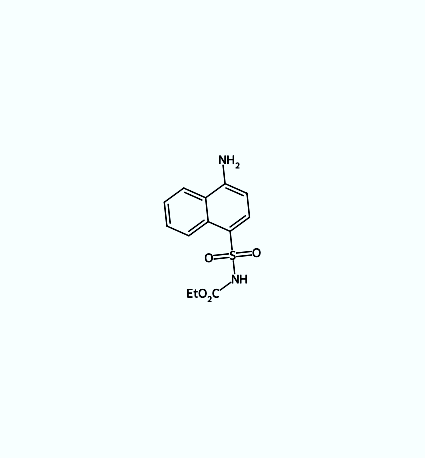 CCOC(=O)NS(=O)(=O)c1ccc(N)c2ccccc12